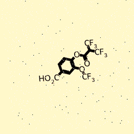 O=C(O)c1ccc(OC(=O)C(C(F)(F)F)C(F)(F)F)c(OC(F)(F)F)c1